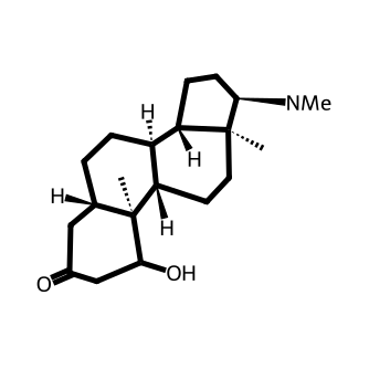 CN[C@@H]1CC[C@H]2[C@@H]3CC[C@H]4CC(=O)CC(O)[C@]4(C)[C@H]3CC[C@]12C